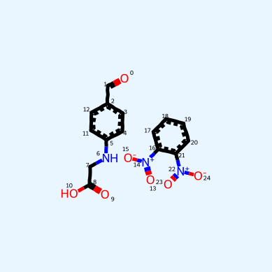 O=Cc1ccc(NCC(=O)O)cc1.O=[N+]([O-])c1ccccc1[N+](=O)[O-]